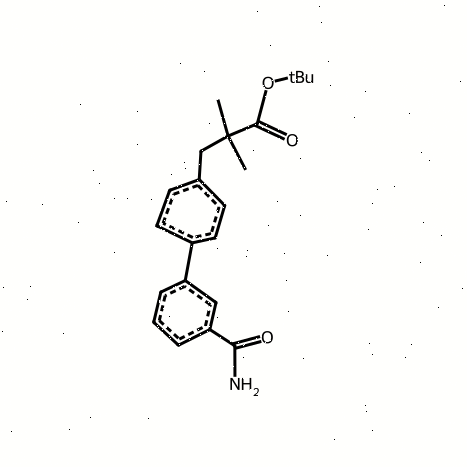 CC(C)(C)OC(=O)C(C)(C)Cc1ccc(-c2cccc(C(N)=O)c2)cc1